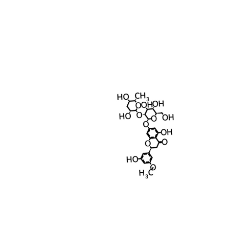 COc1cc(O)cc([C@@H]2CC(=O)c3c(O)cc(O[C@@H]4O[C@H](CO)[C@@H](O)[C@H](O)[C@H]4O[C@@H]4O[C@@H](C)[C@H](O)C[C@H]4O)cc3O2)c1